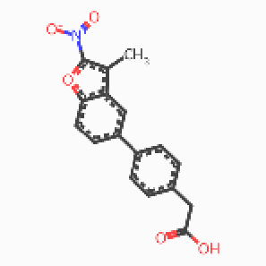 Cc1c([N+](=O)[O-])oc2ccc(-c3ccc(CC(=O)O)cc3)cc12